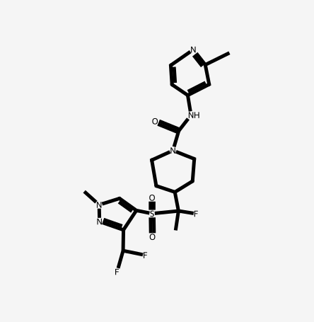 Cc1cc(NC(=O)N2CCC(C(C)(F)S(=O)(=O)c3cn(C)nc3C(F)F)CC2)ccn1